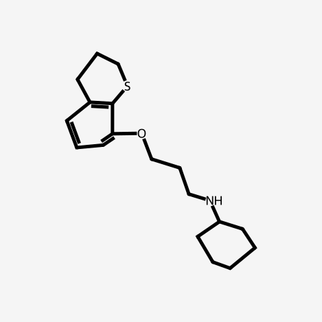 c1cc2c(c(OCCCNC3CCCCC3)c1)SCCC2